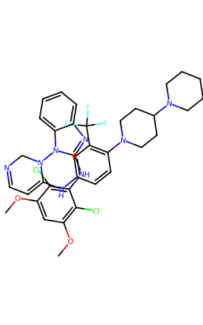 COc1cc(OC)c(Cl)c(Nc2nc3ccccc3n2N2CN=CC=C2Nc2ccc(N3CCC(N4CCCCC4)CC3)c(C(F)(F)F)c2)c1Cl